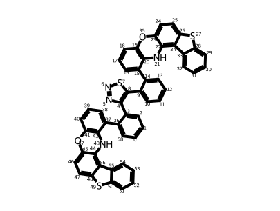 c1ccc(-c2nnsc2-c2ccccc2-c2cccc3c2Nc2c(ccc4sc5ccccc5c24)O3)c(-c2cccc3c2Nc2c(ccc4sc5ccccc5c24)O3)c1